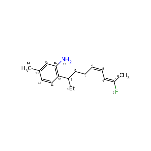 CCC(CC/C=C\C=C(/C)F)c1ccc(C)cc1N